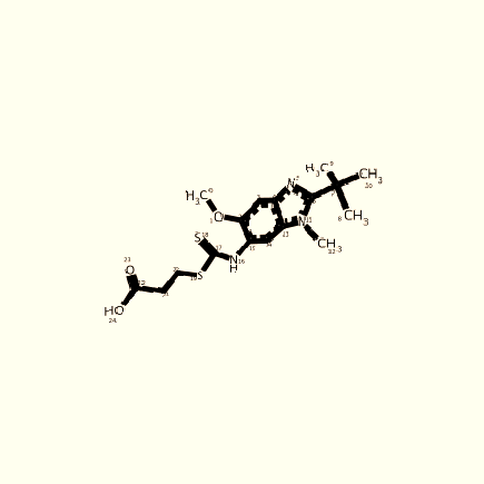 COc1cc2nc(C(C)(C)C)n(C)c2cc1NC(=S)SCCC(=O)O